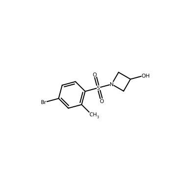 Cc1cc(Br)ccc1S(=O)(=O)N1CC(O)C1